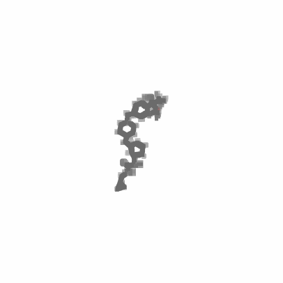 O=C(NCC1CC1)Nc1cccc(CC2CCN(Cc3ccc(C(O)(C(F)(F)F)C(F)(F)F)cc3)CC2)c1